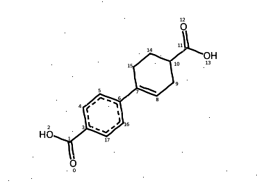 O=C(O)c1ccc(C2=CCC(C(=O)O)CC2)cc1